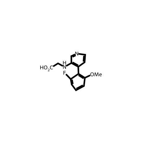 COc1cccc(F)c1-c1ccncc1NCC(=O)O